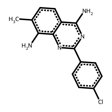 Cc1ccc2c(N)nc(-c3ccc(Cl)cc3)nc2c1N